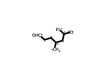 CCC(CC)CC(C)CCC=O